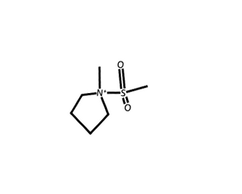 C[N+]1(S(C)(=O)=O)CCCC1